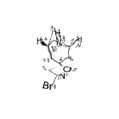 BrC1=NO[C@]2(C1)C[C@H]1CC[C@@H](C2)N1